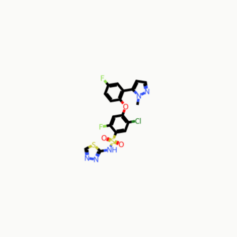 Cn1nccc1-c1cc(F)ccc1Oc1cc(F)c(S(=O)(=O)Nc2nncs2)cc1Cl